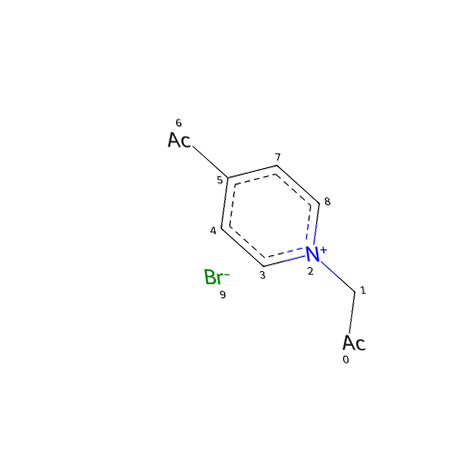 CC(=O)C[n+]1ccc(C(C)=O)cc1.[Br-]